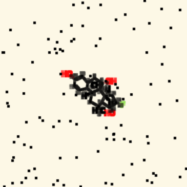 C[C@]12CC[C@H]3[C@@H]([C@@H](O)CC4C=C(O)C=C[C@@]43C)[C@@H]1C[C@@H](F)[C@@H]2O